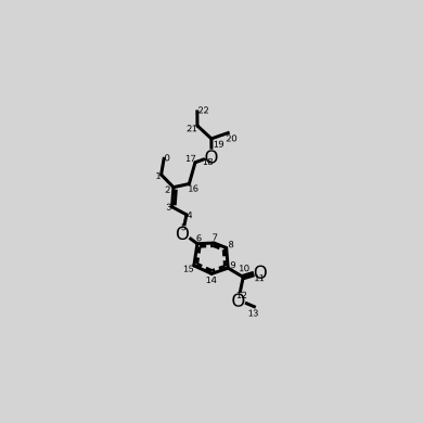 CCC(=CCOc1ccc(C(=O)OC)cc1)CCOC(C)CC